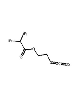 CC(C)C(C(=O)OCCN=C=O)C(C)C